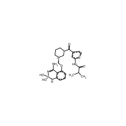 CC(C)C(=O)Nc1cc(C(=O)N2CCC[C@H](COc3cccc4c3C(N)=NS(O)(O)N4)C2)ccn1